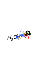 Cc1nsc(N/N=C(\S)C(=O)c2ccccc2)n1